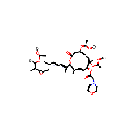 CCOC(C)OC1CCC(C)(OC(C)OCC)C(OC(=O)CN2CCOCC2)/C=C/C(C)C(/C(C)=C/C=C/C(C)CC2OC2C(C)C(CC)OC(C)OCC)OC(=O)C1